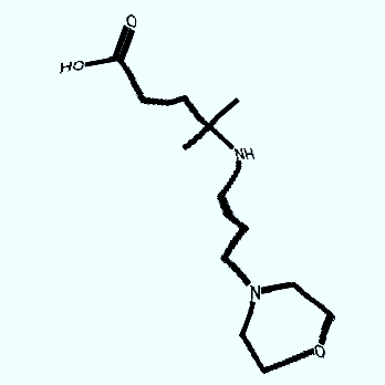 CC(C)(CCC(=O)O)NCCCN1CCOCC1